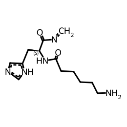 C=NC(=O)[C@H](Cc1cnc[nH]1)NC(=O)CCCCCN